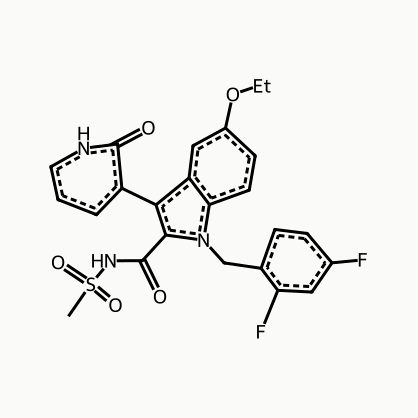 CCOc1ccc2c(c1)c(-c1ccc[nH]c1=O)c(C(=O)NS(C)(=O)=O)n2Cc1ccc(F)cc1F